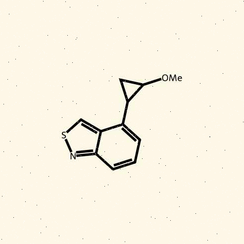 COC1CC1c1cccc2nscc12